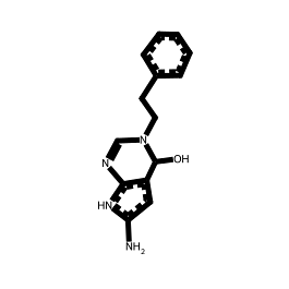 Nc1cc2c([nH]1)N=CN(CCc1ccccc1)C2O